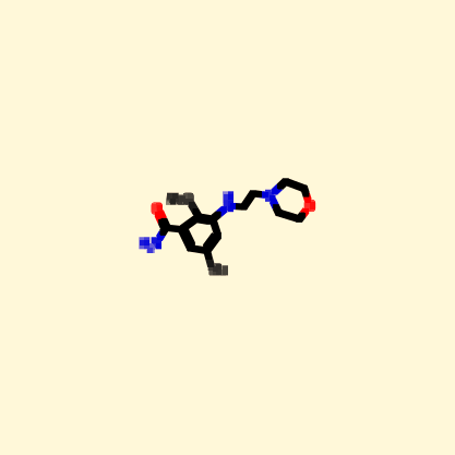 COc1c(NCCN2CCOCC2)cc(C(C)(C)C)cc1C(N)=O